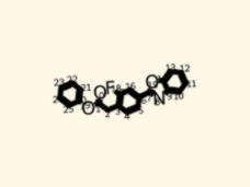 O=C(Cc1ccc(-c2nc3ccccc3o2)cc1F)Oc1ccccc1